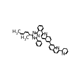 C/C=C\C=C/C(C)c1nc(-c2ccccc2)nc(-c2ccccc2-c2ccc3cc(-c4ccc5ccc(C6=NC=CCC6)nc5c4)ccc3n2)n1